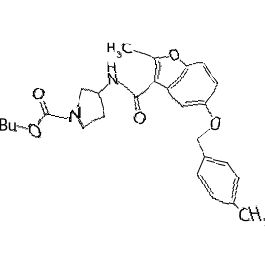 Cc1ccc(COc2ccc3oc(C)c(C(=O)NC4CCN(C(=O)OC(C)(C)C)C4)c3c2)cc1